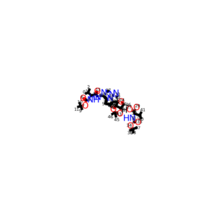 CC(C)[C@H](NC(=O)OC(C)(C)C)C(=O)Nc1ncnn2c([C@]3(C#N)O[C@H](COC(=O)[C@@H](NC(=O)OC(C)(C)C)C(C)C)[C@H]4OC(C)(C)O[C@H]43)ccc12